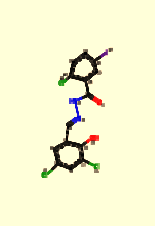 O=C(N/N=C/c1cc(Cl)cc(Cl)c1O)c1cc(I)ccc1Cl